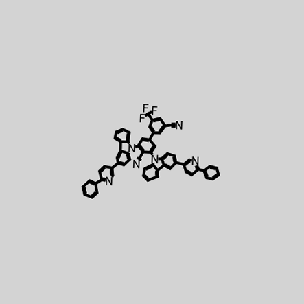 N#Cc1cc(-c2cc(-n3c4ccccc4c4cc(-c5ccc(-c6ccccc6)nc5)ccc43)c(C#N)c(-n3c4ccccc4c4cc(-c5ccc(-c6ccccc6)nc5)ccc43)c2)cc(C(F)(F)F)c1